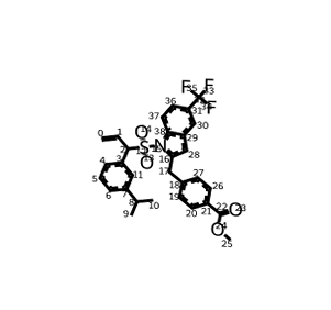 C=CC(c1cccc(C(C)C)c1)S(=O)(=O)n1c(Cc2ccc(C(=O)OC)cc2)cc2cc(C(F)(F)F)ccc21